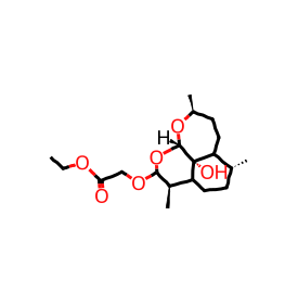 CCOC(=O)COC1O[C@@H]2O[C@@H](C)CCC3[C@H](C)CCC([C@H]1C)[C@]32O